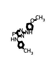 CCOc1ccc(Nc2ncc(F)c(Nc3ccc(C)cc3)n2)cc1